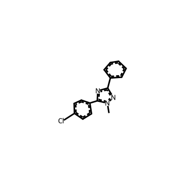 Cn1nc(-c2ccccc2)nc1-c1ccc(Cl)cc1